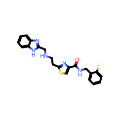 O=C(NCc1ccccc1F)c1csc(CCNCc2nc3ccccc3[nH]2)n1